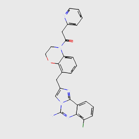 Nc1nc2c(F)cccc2c2nc(Cc3cccc4c3OCCN4C(=O)Cc3ccccn3)cn12